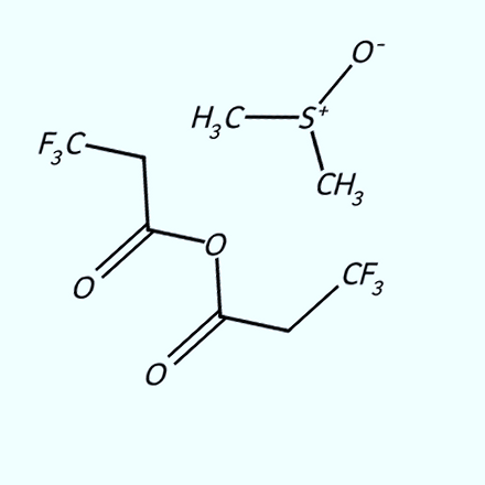 C[S+](C)[O-].O=C(CC(F)(F)F)OC(=O)CC(F)(F)F